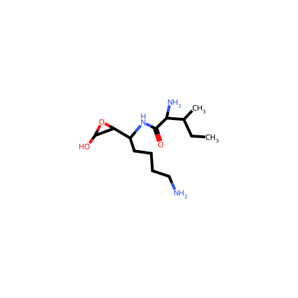 CCC(C)C(N)C(=O)NC(CCCCN)C1OC1O